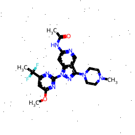 COc1cc(C(C)(F)F)nc(-n2nc(N3CCN(C)CC3)c3cnc(NC(C)=O)cc32)n1